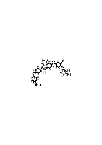 CCCCN1CCC(Oc2ccc(C(=O)Nc3ccc(Oc4ccc(NC(=O)NC(CC)CC)c(F)c4)c(C)c3)cc2)CC1